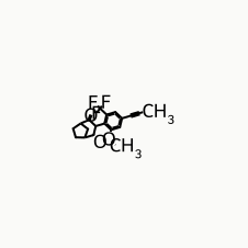 CC#Cc1cc(OC)c(C2C(=O)C3CCC(C3)C2=O)c(C(F)(F)F)c1